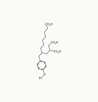 CCOc1ccc(CC(CCCCCCC(=O)O)CC(CC(=O)O)C(=O)O)cc1